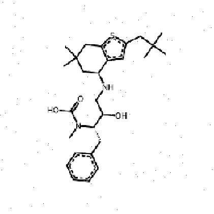 CN(C(=O)O)[C@@H](Cc1ccccc1)[C@H](O)CN[C@H]1CC(C)(C)Cc2sc(CC(C)(C)C)cc21